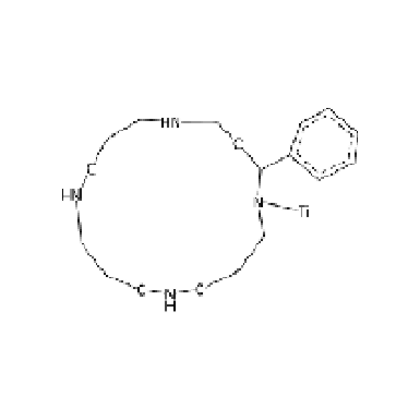 [Ti][N]1CCCNCCCNCCCNCCC1c1ccccc1